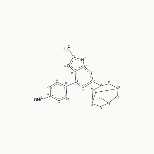 Cc1nc2cc(C34CC5CC(CC(C5)C3)C4)cc(-c3ccc(C=O)cc3)c2o1